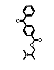 CC(COC(=O)c1ccc(C(=O)c2ccccc2)cc1)N(C)C